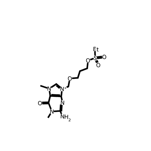 CCS(=O)(=O)OCCCOC[n+]1cn(C)c2c(=O)n(C)c(N)nc21